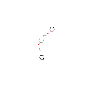 O=C(NCCOc1ccc(Cl)cc1)C1CCN(C(=O)CCOc2ccccc2)CC1